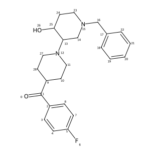 O=C(c1ccc(F)cc1)C1CCN(C2CN(Cc3ccccc3)CCC2O)CC1